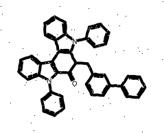 O=C1c2c(c3ccccc3n2-c2ccccc2)-c2c(n(-c3ccccc3)c3ccccc23)C1Cc1cccc(-c2ccccc2)c1